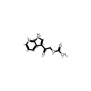 CC(=O)OCC(=O)c1c[nH]c2ncccc12